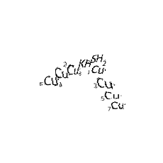 S.[Cu].[Cu].[Cu].[Cu].[Cu].[Cu].[Cu].[KH]